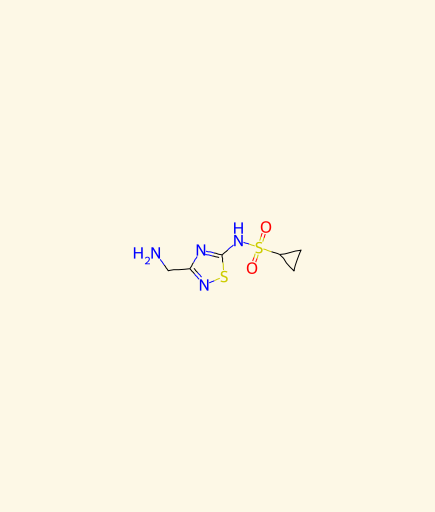 NCc1nsc(NS(=O)(=O)C2CC2)n1